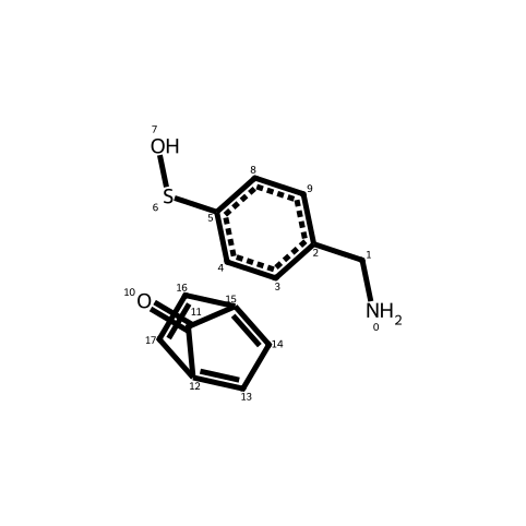 NCc1ccc(SO)cc1.O=C1C2=CC=C1C=C2